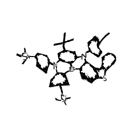 Cc1ccc(N2c3cc(C(C)(C)C)cc4c3B(c3cc([Si](C)(C)C)ccc3N4c3ccc([Si](C)(C)C)cc3)c3ccc4sc5ccccc5c4c32)cc1